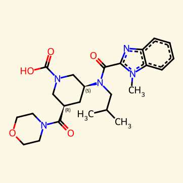 CC(C)CN(C(=O)c1nc2ccccc2n1C)[C@H]1C[C@@H](C(=O)N2CCOCC2)CN(C(=O)O)C1